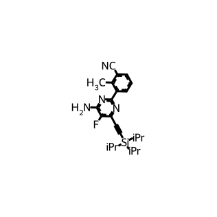 Cc1c(C#N)cccc1-c1nc(N)c(F)c(C#C[Si](C(C)C)(C(C)C)C(C)C)n1